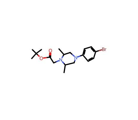 CC1CN(c2ccc(Br)cc2)CC(C)N1CC(=O)OC(C)(C)C